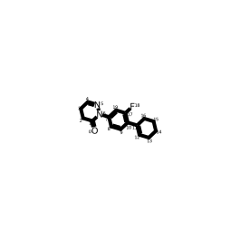 O=C1CCC=NN1c1ccc(C2=CCCCC2)c(F)c1